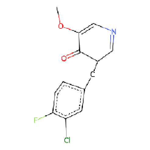 COC1=CN=CC(Cc2ccc(F)c(Cl)c2)C1=O